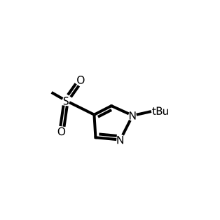 CC(C)(C)n1cc(S(C)(=O)=O)cn1